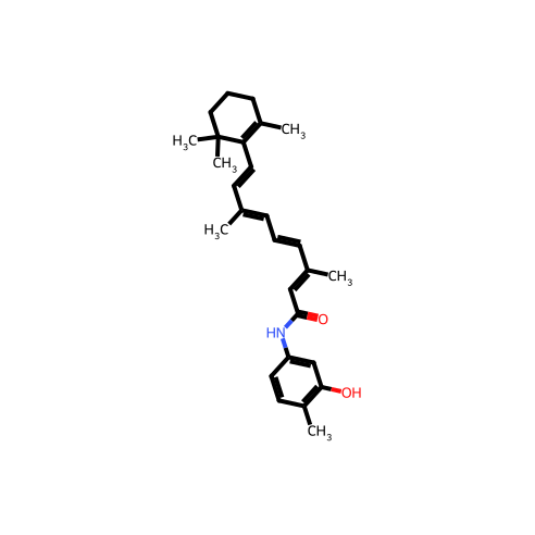 CC(C=CC1=C(C)CCCC1(C)C)=CC=CC(C)=CC(=O)Nc1ccc(C)c(O)c1